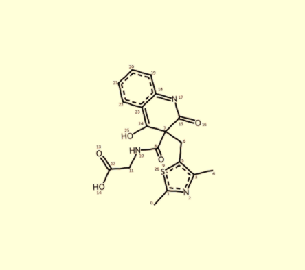 Cc1nc(C)c(CC2(C(=O)NCC(=O)O)C(=O)N=c3ccccc3=C2O)s1